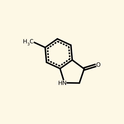 Cc1ccc2c(c1)NCC2=O